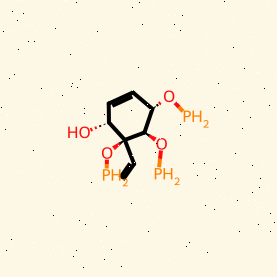 C=C[C@]1(OP)[C@H](O)C=C[C@H](OP)[C@H]1OP